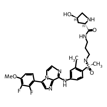 COc1ccc(-c2cnc3c(Nc4ccc([S@](C)(=O)=NCCCNC(=O)[C@@H]5C[C@@H](O)CN5)c(C)c4)nccn23)c(F)c1F